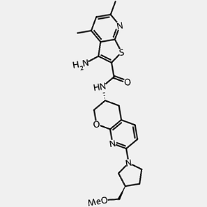 COC[C@@H]1CCN(c2ccc3c(n2)OC[C@H](NC(=O)c2sc4nc(C)cc(C)c4c2N)C3)C1